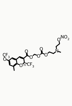 Cc1cc(OC(F)(F)F)cc2c1O[C@H](C(F)(F)F)C(C(=O)OCOC(=O)OCCN(C)CCO[N+](=O)[O-])=C2